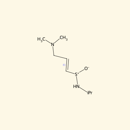 CC(C)N[S+]([O-])/C=C/CN(C)C